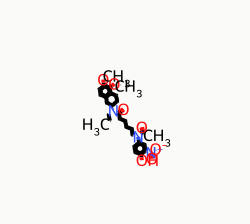 CCCN(C(=O)CCCCCN(C(C)=O)c1ccc(O)c([N+](=O)[O-])c1)[C@H]1CCc2c(ccc(OC)c2OC)C1